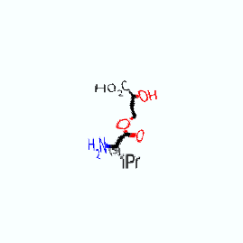 CC(C)[C@H](N)C(=O)OCCC(O)C(=O)O